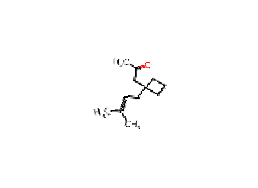 CC(=O)CC1(CC=C(C)C)CCC1